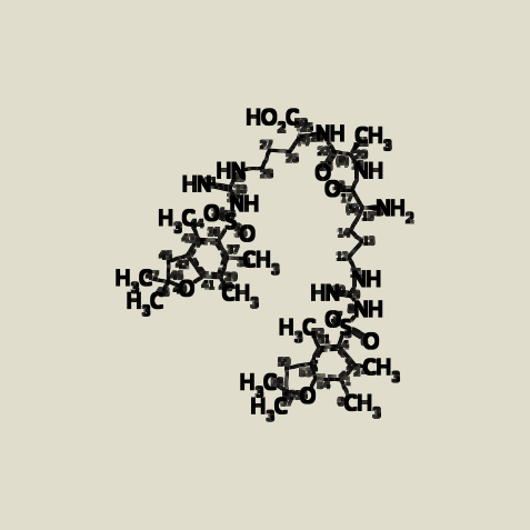 Cc1c(C)c(S(=O)(=O)NC(=N)NCCC[C@H](N)C(=O)N[C@H](C)C(=O)N[C@H](CCCNC(=N)NS(=O)(=O)c2c(C)c(C)c3c(c2C)CC(C)(C)O3)C(=O)O)c(C)c2c1OC(C)(C)C2